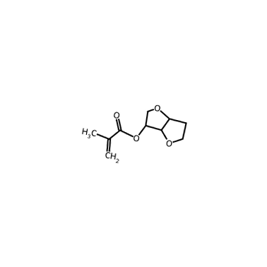 C=C(C)C(=O)OC1COC2CCOC21